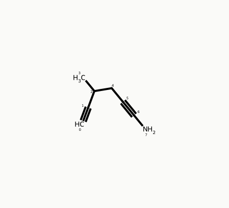 C#CC(C)CC#CN